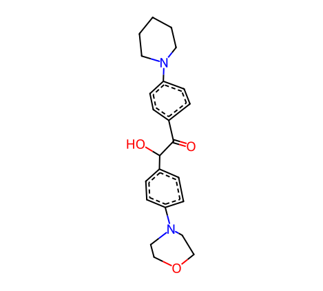 O=C(c1ccc(N2CCCCC2)cc1)C(O)c1ccc(N2CCOCC2)cc1